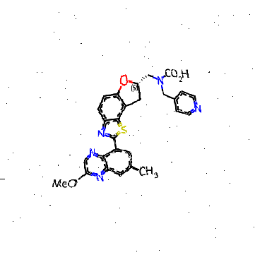 COc1cnc2c(-c3nc4ccc5c(c4s3)C[C@@H](CN(Cc3ccncc3)C(=O)O)O5)cc(C)cc2n1